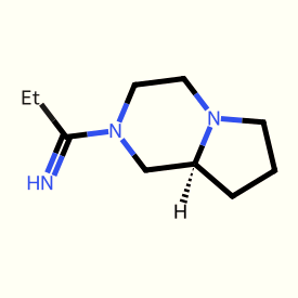 CCC(=N)N1CCN2CCC[C@H]2C1